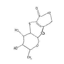 CC1OC2OC3=C(SC2C(O)C1O)C(=O)OC3